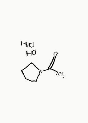 Cl.Cl.NC(=O)N1CCCC1